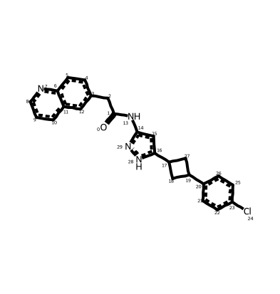 O=C(Cc1ccc2ncccc2c1)Nc1cc(C2CC(c3ccc(Cl)cc3)C2)[nH]n1